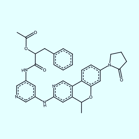 CC(=O)OC(Cc1ccccc1)C(=O)Nc1cncc(Nc2cc3c(cn2)-c2ccc(N4CCCC4=O)cc2OC3C)c1